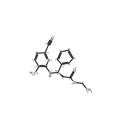 CCOC(=O)C[C@@H](Nc1nc(C#N)ccc1C)c1ccccc1